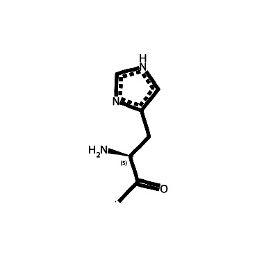 [CH2]C(=O)[C@@H](N)Cc1c[nH]cn1